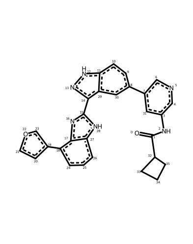 O=C(Nc1cncc(-c2ccc3[nH]nc(-c4nc5c(-c6ccoc6)cccc5[nH]4)c3c2)c1)C1CCC1